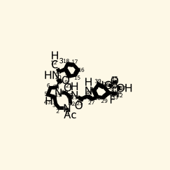 CC(=O)N1CC[C@H]2CC[C@@H](C(=O)NC(C)c3ccccc3)N2C(=O)[C@@H](NC(=O)c2cc3cc(C(F)(F)P(=O)(O)O)ccc3[nH]2)C1